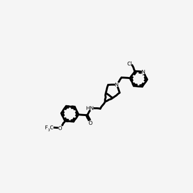 O=C(NCC1C2CN(Cc3cccnc3Cl)CC12)c1cccc(OC(F)(F)F)c1